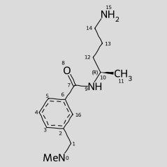 CNCc1cccc(C(=O)N[C@H](C)CCCN)c1